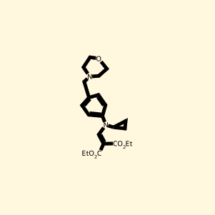 CCOC(=O)C(=CN(c1ccc(CN2CCOCC2)cc1)C1CC1)C(=O)OCC